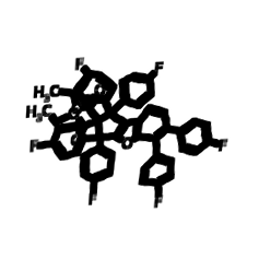 CCOC(=O)C1(C(=O)OCC)C(c2ccc(F)cc2)(c2ccc(F)cc2)c2oc3c(-c4ccc(F)cc4)c(-c4ccc(F)cc4)ccc3c2C1(c1ccc(F)cc1)c1ccc(F)cc1